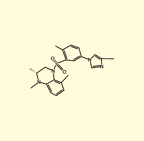 Cc1cn(-c2ccc(C)c(S(=O)(=O)N3C[C@@H](C)N(C)c4cccc(C)c43)c2)cn1